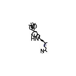 C/C(C#Cc1cc2cc(B3OC(C)(C)C(C)(C)O3)cnc2[nH]1)=C\CC(C)N(C)C